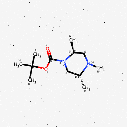 C[C@@H]1CN(C(=O)OC(C)(C)C)[C@@H](C)CN1C